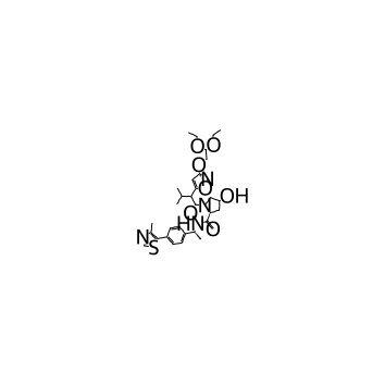 CCOC(COc1cc(C(C(=O)N2C[C@H](O)C[C@H]2C(=O)N[C@@H](C)c2ccc(-c3scnc3C)cc2)C(C)C)on1)OCC